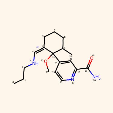 CCCN/C=C1/CCCC(C)C1(OC)c1ccnc(C(N)=O)c1